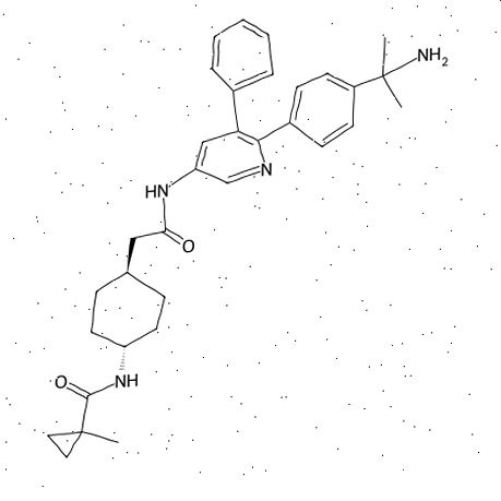 CC1(C(=O)N[C@H]2CC[C@H](CC(=O)Nc3cnc(-c4ccc(C(C)(C)N)cc4)c(-c4ccccc4)c3)CC2)CC1